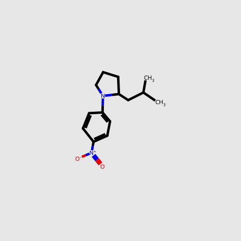 CC(C)CC1CCCN1c1ccc([N+](=O)[O-])cc1